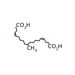 CC(CCCC/C=C\CCC(=O)O)CCCC/C=C\CCC(=O)O